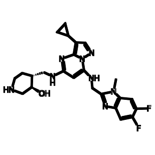 Cn1c(CNc2cc(NC[C@H]3CCNC[C@@H]3O)nc3c(C4CC4)cnn23)nc2cc(F)c(F)cc21